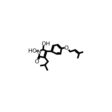 CC(C)=CCOc1ccc(C2=C(CC(C)C)C(=O)N(O)C2O)cc1